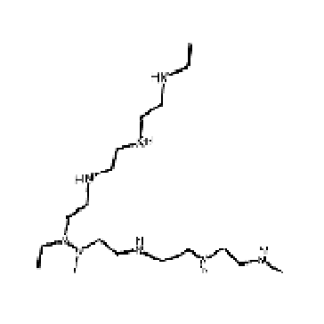 CCNCCNCCNCCN(CC)N(C)CCNCCNCCNC